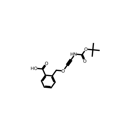 CC(C)(C)OC(=O)NC#COCc1ccccc1C(=O)O